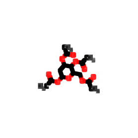 CC(=O)OCC1OC(OC(C)=O)CC(OC(C)=O)C1OC(C)=O